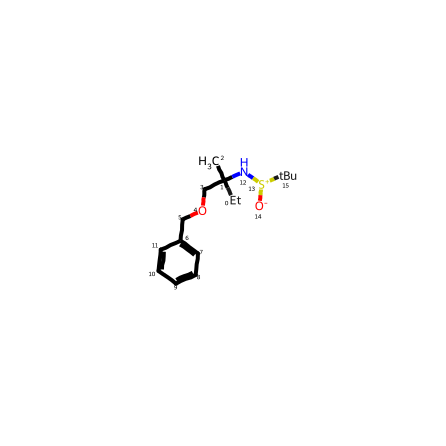 CCC(C)(COCc1ccccc1)N[S+]([O-])C(C)(C)C